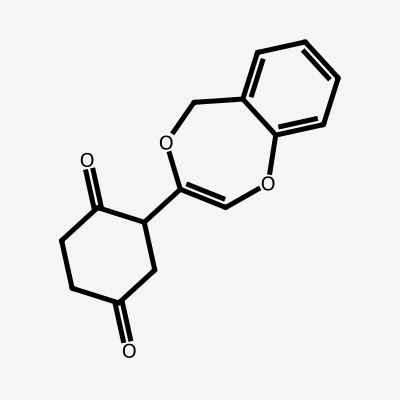 O=C1CCC(=O)C(C2=COc3ccccc3CO2)C1